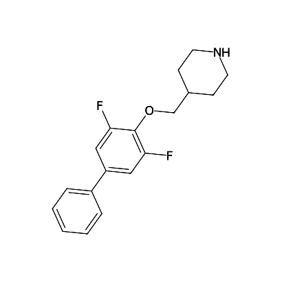 Fc1cc(-c2ccccc2)cc(F)c1OCC1CCNCC1